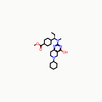 CC[C@H](C1CCC(C(=O)OC)CC1)N(C)c1nc(O)c2c(n1)CCN(C1CCCCC1)C2